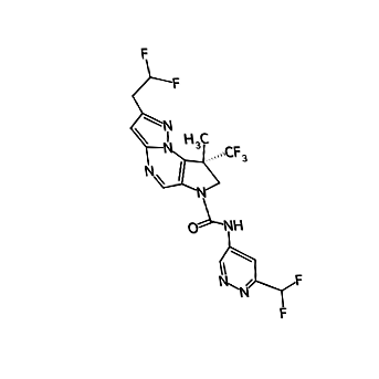 C[C@@]1(C(F)(F)F)CN(C(=O)Nc2cnnc(C(F)F)c2)c2cnc3cc(CC(F)F)nn3c21